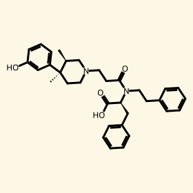 C[C@H]1CN(CCC(=O)N(CCc2ccccc2)[C@@H](Cc2ccccc2)C(=O)O)CC[C@@]1(C)c1cccc(O)c1